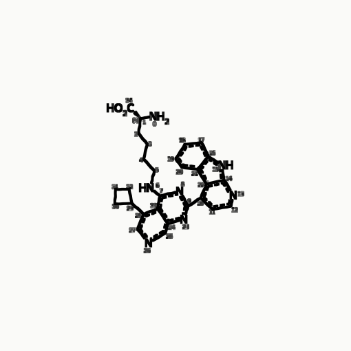 N[C@@H](CCCCNc1nc(-c2ccnc3[nH]c4ccccc4c23)nc2cncc(C3CCC3)c12)C(=O)O